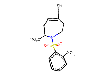 CCCC1=CCC(C(=O)O)N(S(=O)(=O)c2ccccc2[N+](=O)[O-])CC1